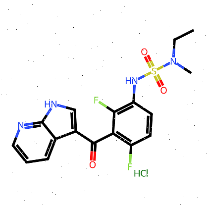 CCN(C)S(=O)(=O)Nc1ccc(F)c(C(=O)c2c[nH]c3ncccc23)c1F.Cl